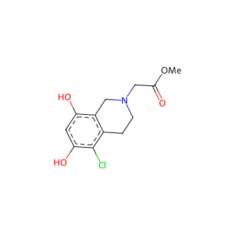 COC(=O)CN1CCc2c(Cl)c(O)cc(O)c2C1